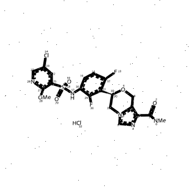 CNC(=O)c1ncn2c1CO[C@H](c1c(F)ccc(NS(=O)(=O)c3cc(Cl)cnc3OC)c1F)C2.Cl